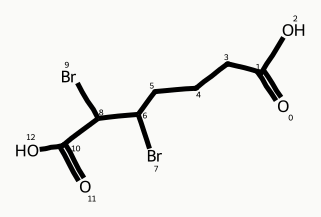 O=C(O)CCCC(Br)C(Br)C(=O)O